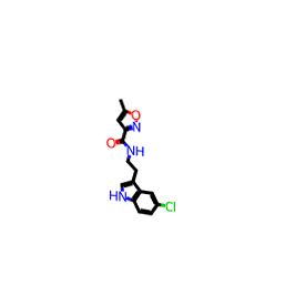 Cc1cc(C(=O)NCCc2c[nH]c3ccc(Cl)cc23)no1